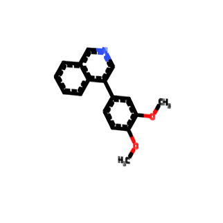 COc1ccc(-c2cncc3ccccc23)cc1OC